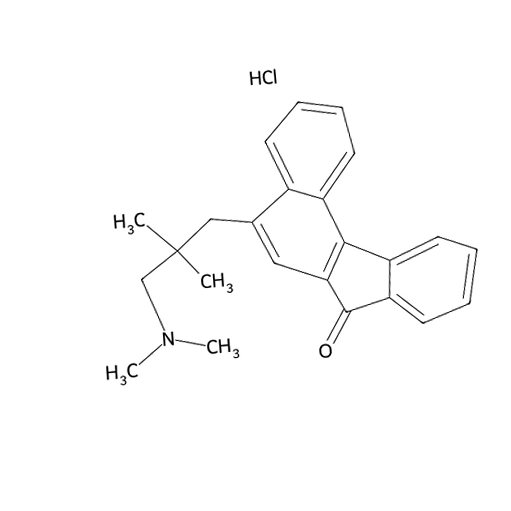 CN(C)CC(C)(C)Cc1cc2c(c3ccccc13)-c1ccccc1C2=O.Cl